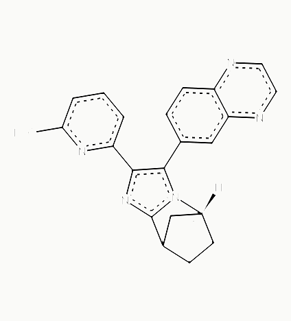 Cc1cccc(-c2nc3n(c2-c2ccc4nccnc4c2)[C@@H]2CCC3C2)n1